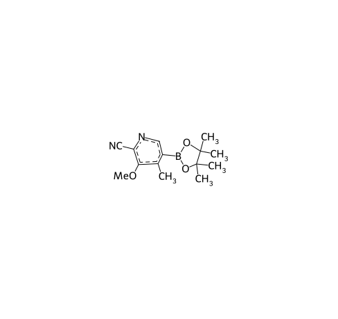 COc1c(C#N)ncc(B2OC(C)(C)C(C)(C)O2)c1C